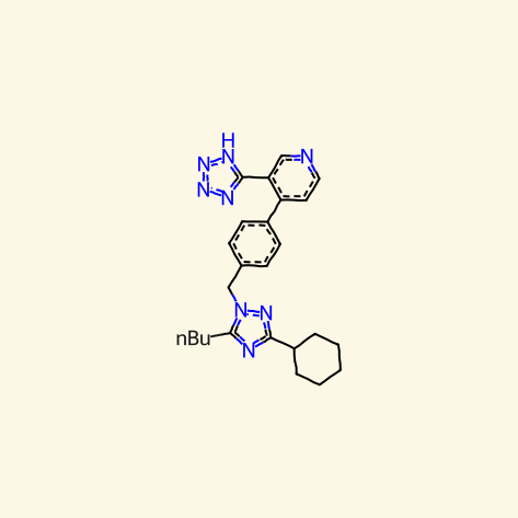 CCCCc1nc(C2CCCCC2)nn1Cc1ccc(-c2ccncc2-c2nnn[nH]2)cc1